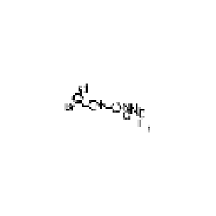 CCNC(=O)NC1CCC(CCN2CCC(Cc3cc(Cl)ccc3Br)CC2)CC1